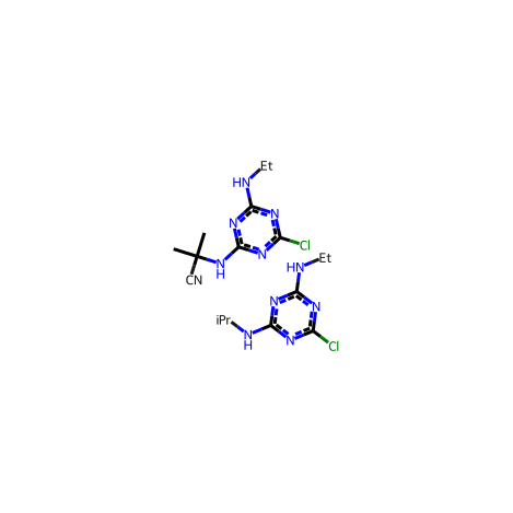 CCNc1nc(Cl)nc(NC(C)(C)C#N)n1.CCNc1nc(Cl)nc(NC(C)C)n1